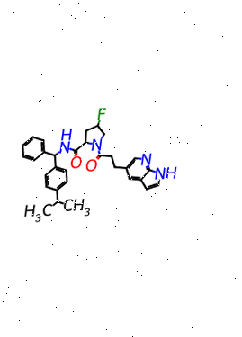 CC(C)c1ccc(C(NC(=O)C2CC(F)CN2C(=O)CCc2cnc3[nH]ccc3c2)c2ccccc2)cc1